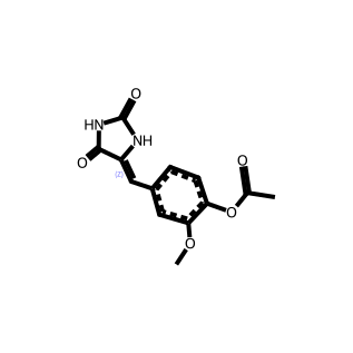 COc1cc(/C=C2\NC(=O)NC2=O)ccc1OC(C)=O